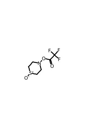 O=C(ON1CC[S+]([O-])CC1)C(F)(F)F